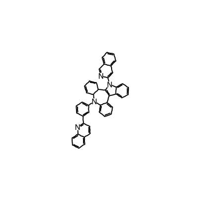 C1=CC2c3c(c4ccccc4n3-c3cc4ccccc4cn3)-c3ccccc3N(c3cccc(-c4ccc5ccccc5n4)c3)C2C=C1